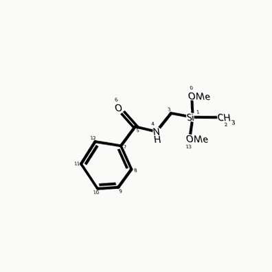 CO[Si](C)(CNC(=O)c1ccccc1)OC